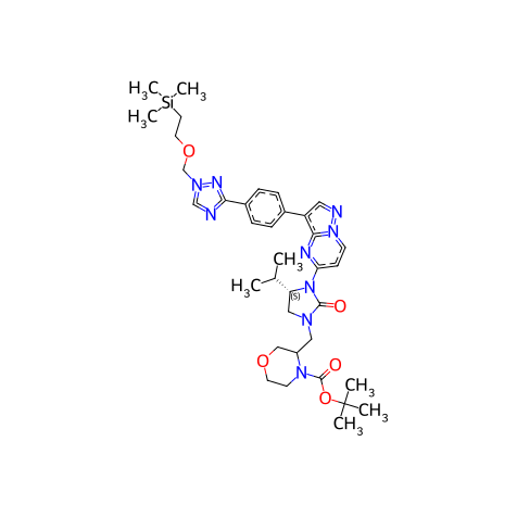 CC(C)[C@H]1CN(CC2COCCN2C(=O)OC(C)(C)C)C(=O)N1c1ccn2ncc(-c3ccc(-c4ncn(COCC[Si](C)(C)C)n4)cc3)c2n1